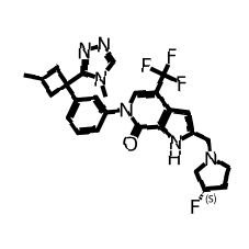 CC1CC(c2cccc(-n3cc(C(F)(F)F)c4cc(CN5CC[C@H](F)C5)[nH]c4c3=O)c2)(c2nncn2C)C1